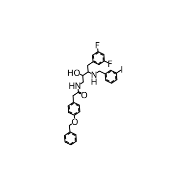 O=C(Cc1ccc(OCc2ccccc2)cc1)NCC(O)C(Cc1cc(F)cc(F)c1)NCc1cccc(I)c1